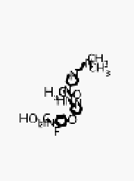 CN(C)CCCN1CCC(N(C)C(=O)Nc2cc(Oc3ccc(NC(=O)O)c(F)c3)ccn2)CC1